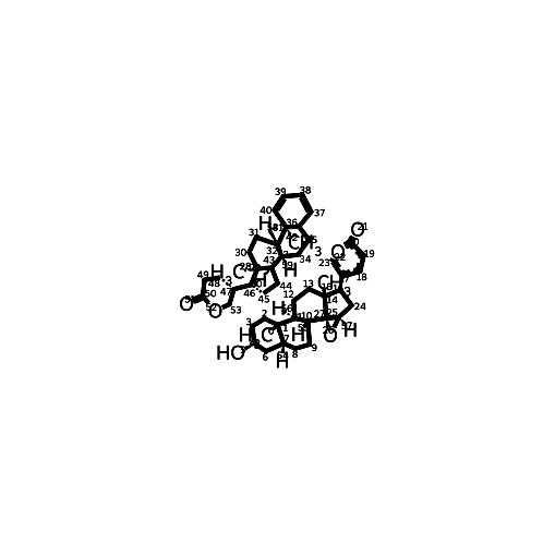 C[C@]12CC[C@H](O)C[C@H]1CC[C@@H]1[C@@H]2CC[C@]2(C)[C@@H](c3ccc(=O)oc3)C[C@H]3O[C@]132.C[C@]12CC[C@H]3[C@@H](CCC4C=CC=C[C@@]43C)[C@H]1CC[C@@H]2[C@H]1CCC(=O)OC1